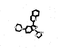 c1ccc2nc(-c3nn(C4NCCO4)c4ccc(N5CCOCC5)cc34)ccc2c1